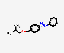 C=C(C)COCc1ccc(/N=N/c2ccccc2)cc1